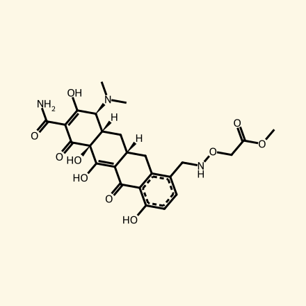 COC(=O)CONCc1ccc(O)c2c1C[C@H]1C[C@H]3[C@H](N(C)C)C(O)=C(C(N)=O)C(=O)[C@@]3(O)C(O)=C1C2=O